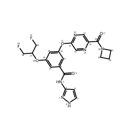 O=C(Nc1cc[nH]n1)c1cc(Oc2cnc(C(=O)N3CCC3)cn2)cc(OC(CF)CF)c1